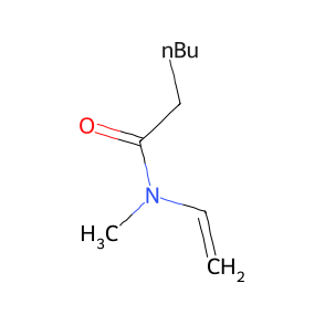 C=CN(C)C(=O)CCCCC